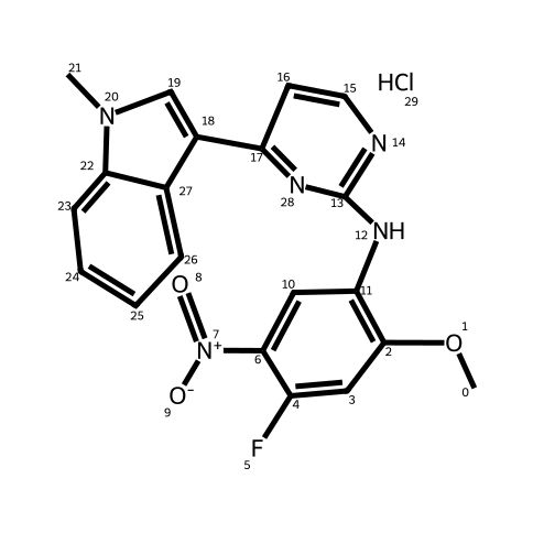 COc1cc(F)c([N+](=O)[O-])cc1Nc1nccc(-c2cn(C)c3ccccc23)n1.Cl